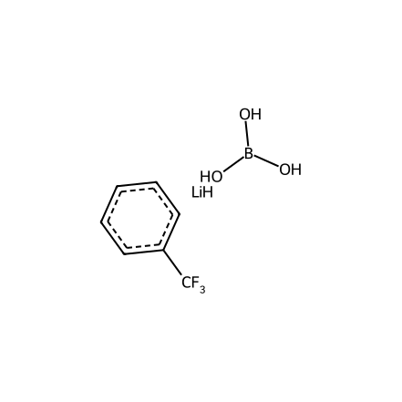 FC(F)(F)c1ccccc1.OB(O)O.[LiH]